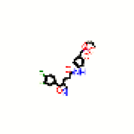 O=C(CCc1cnoc1-c1ccc(F)c(F)c1)Nc1ccc(CP2(=O)OCCCO2)cc1